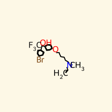 C=CCN(C)CCCCCCOc1ccc(C(O)(c2ccc(Br)cc2)C(F)(F)F)cc1